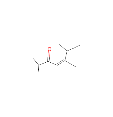 CC(=CC(=O)C(C)C)C(C)C